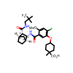 COc1cc(F)c(OC2CCC(C)(C(=O)O)CC2)cc1C(=O)N[C@@H]1[C@H]2CC[C@H](C2)[C@@H]1C(=O)NCC(C)(C)C(F)(F)F